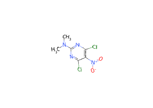 CN(C)c1nc(Cl)c([N+](=O)[O-])c(Cl)n1